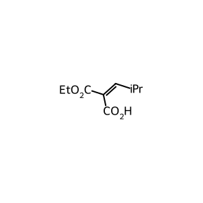 CCOC(=O)C(=CC(C)C)C(=O)O